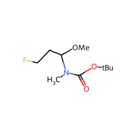 COC(CCF)N(C)C(=O)OC(C)(C)C